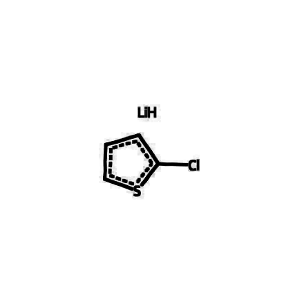 Clc1cccs1.[LiH]